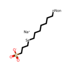 CCCCCCCCCCCCCCCC[Se]CCCS(=O)(=O)[O-].[Na+]